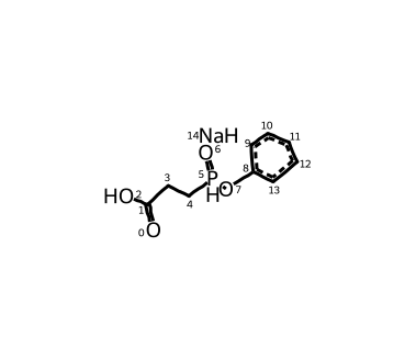 O=C(O)CC[PH](=O)Oc1ccccc1.[NaH]